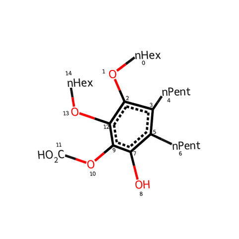 CCCCCCOc1c(CCCCC)c(CCCCC)c(O)c(OC(=O)O)c1OCCCCCC